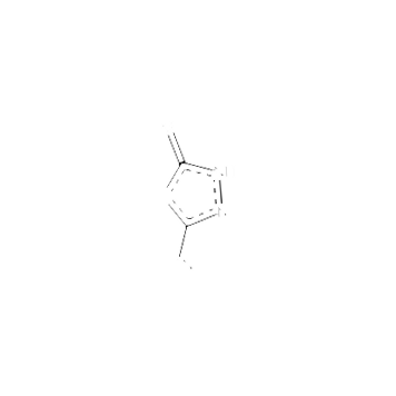 N#Cc1n[nH]c(=O)o1